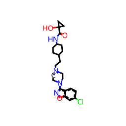 O=C(NC1CCC(CCN2CCN(c3noc4cc(Cl)ccc34)CC2)CC1)C1(O)CC1